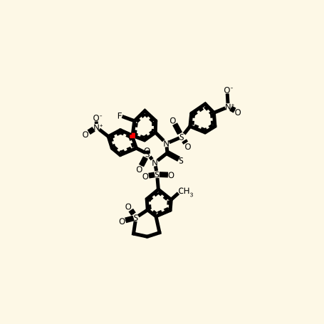 Cc1cc2c(cc1S(=O)(=O)N(C(=S)N(c1ccc(F)cc1)S(=O)(=O)c1ccc([N+](=O)[O-])cc1)S(=O)(=O)c1ccc([N+](=O)[O-])cc1)S(=O)(=O)CCC2